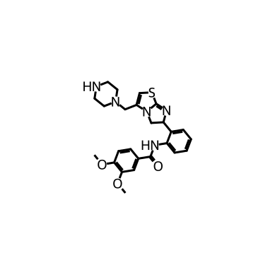 COc1ccc(C(=O)Nc2ccccc2C2CN3C(CN4CCNCC4)=CSC3=N2)cc1OC